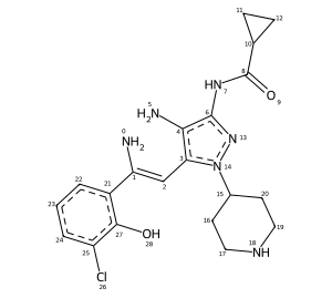 N/C(=C\c1c(N)c(NC(=O)C2CC2)nn1C1CCNCC1)c1cccc(Cl)c1O